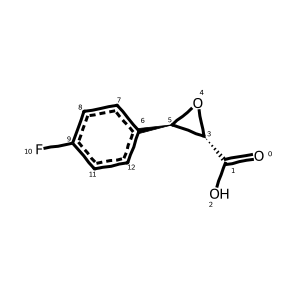 O=C(O)[C@H]1O[C@@H]1c1ccc(F)cc1